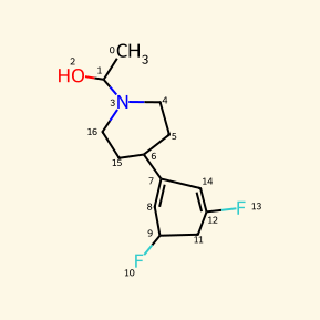 CC(O)N1CCC(C2=CC(F)CC(F)=C2)CC1